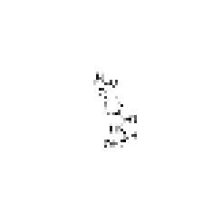 NC(=O)OC1CCC(C(=O)NNC=O)CC1